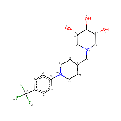 OC1[C@H](O)CN(CC2CCN(c3ccc(C(F)(F)F)cc3)CC2)C[C@@H]1O